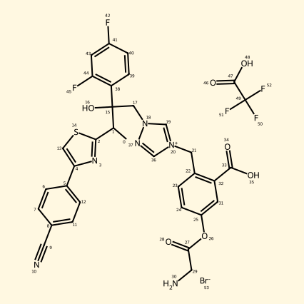 CC(c1nc(-c2ccc(C#N)cc2)cs1)C(O)(Cn1c[n+](Cc2ccc(OC(=O)CN)cc2C(=O)O)cn1)c1ccc(F)cc1F.O=C(O)C(F)(F)F.[Br-]